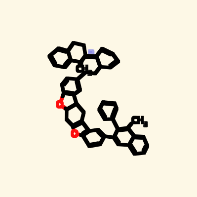 C=C1/C(=C2/C=CC=CC2CCc2ccc3c(c2)C2Cc4c(oc5ccc(-c6cc7ccccc7c(C)c6-c6ccccc6)cc45)CC2O3)CCc2ccccc21